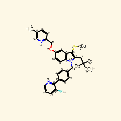 CCC(CC)(Cc1c(SC(C)(C)C)c2cc(OCc3ccc(C)cn3)ccc2n1Cc1ccc(-c2ncccc2F)cc1)C(=O)O